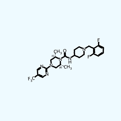 C[C@@H]1CN(c2ncc(C(F)(F)F)cn2)C[C@H](C)N1C(=O)NC1CCN(Cc2c(F)cccc2F)CC1